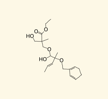 CC=CC(C)(OCC1=CCCC=C1)C(O)OCC(C)(CO)C(=O)OCC